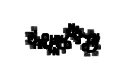 Cc1ncc(NC(=O)C2CCCN2C)cc1NC(=O)c1cnn2cc(-c3cnn4c3OCCC4)sc12